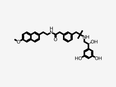 COc1ccc2cc(CCNC(=O)Cc3cccc(CC(C)(C)NC[C@H](O)c4cc(O)cc(O)c4)c3)ccc2c1